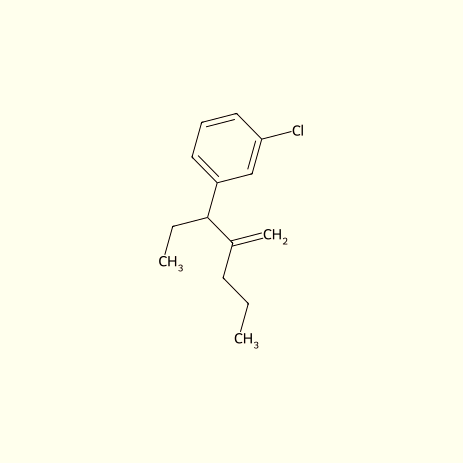 C=C(CCC)C(CC)c1cccc(Cl)c1